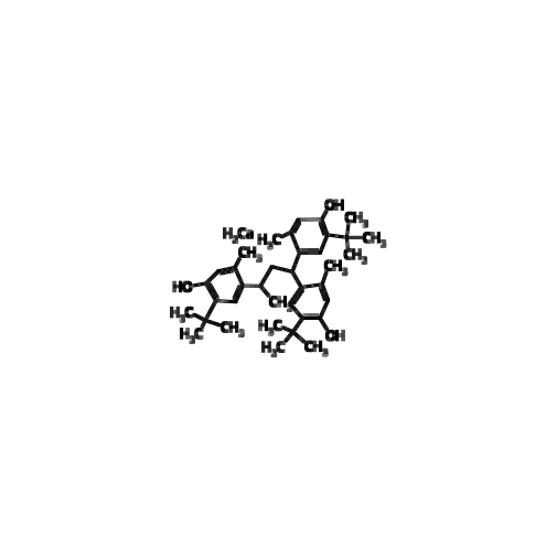 Cc1cc(O)c(C(C)(C)C)cc1C(C)CC(c1cc(C(C)(C)C)c(O)cc1C)c1cc(C(C)(C)C)c(O)cc1C.[CaH2]